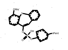 CCCCCc1ccc(OP(=O)(O)OC2=Cc3ccccc3Sc3c(OC)cccc32)cc1